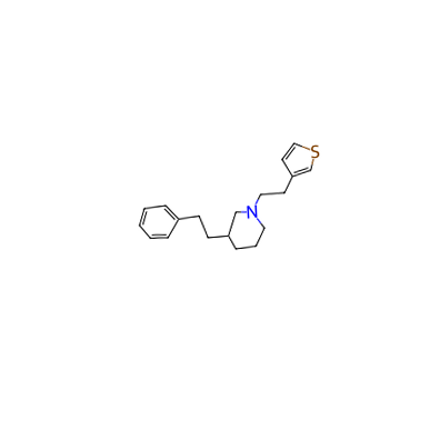 c1ccc(CCC2CCCN(CCc3ccsc3)C2)cc1